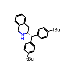 CC(C)(C)c1ccc(C(c2ccc(C(C)(C)C)cc2)[C@H]2Cc3ccccc3CN2)cc1